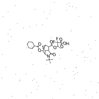 CC(OC(=O)C1C2SC3C1C(=O)N(C(C)(C)C)C3C2OC(=O)C1CCCCC1)C(F)(F)S(=O)(=O)O